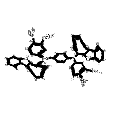 CCCCCCc1cc(N(c2ccc(N(c3ccc(Br)c(CCCCCC)c3)c3cccc4c3oc3ccccc34)cc2)c2cccc3c2oc2ccccc23)ccc1Br